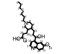 CCCSCCCN1CCC(CC[C@H](O)c2ccnc3ccc(OC)cc23)C(CCC(=O)O)C1